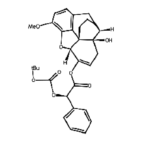 COc1ccc2c3c1O[C@H]1C(OC(=O)[C@H](OC(=O)OC(C)(C)C)c4ccccc4)=CC[C@@]4(O)[C@H](CCC[C@]314)C2